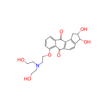 O=C1c2ccc3c(c2C(=O)c2cccc(OCCN(CCO)CCO)c21)CC(O)C3O